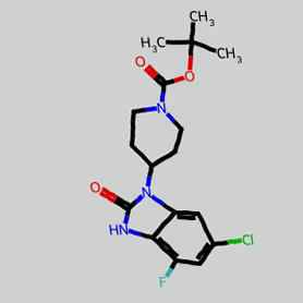 CC(C)(C)OC(=O)N1CCC(n2c(=O)[nH]c3c(F)cc(Cl)cc32)CC1